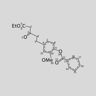 CCOC(=O)CC(=O)CCc1ccc(OC(=O)c2ccccc2)c(OC)c1